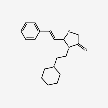 O=C1CSC(C=Cc2ccccc2)N1CCN1CCCCC1